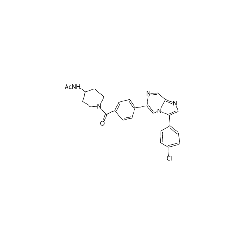 CC(=O)NC1CCN(C(=O)c2ccc(-c3cn4c(-c5ccc(Cl)cc5)cnc4cn3)cc2)CC1